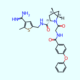 Cc1sc(CNC(=O)[C@@H]2C[C@]3(C)C[C@@H]3N2C(=O)CNC(=O)c2ccc(Oc3ccccc3)cc2)cc1C(=N)N